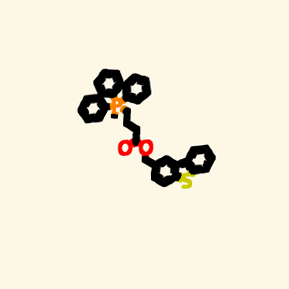 CP(CCCC(=O)OCc1ccc2sc3ccccc3c2c1)(c1ccccc1)(c1ccccc1)c1ccccc1